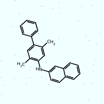 Cc1cc(-c2ccccc2)c(C)cc1Nc1ccc2ccccc2c1